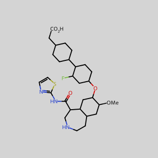 COC1CC2CCNCC(C(=O)Nc3nccs3)C2CC1OC1CCC(C2CCC(CC(=O)O)CC2)C(F)C1